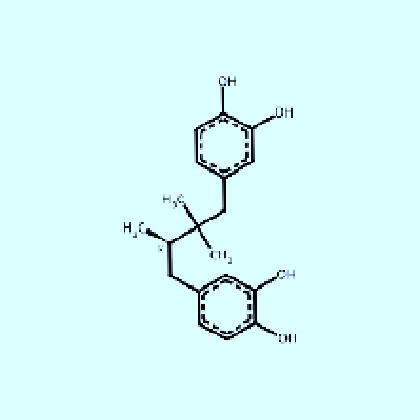 C[C@H](Cc1ccc(O)c(O)c1)C(C)(C)Cc1ccc(O)c(O)c1